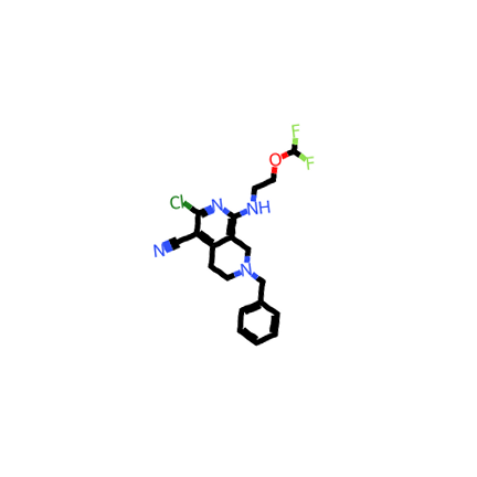 N#Cc1c(Cl)nc(NCCOC(F)F)c2c1CCN(Cc1ccccc1)C2